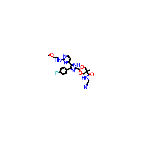 COCCNc1nccc(-c2[nH]c(C3OCC(C)(C(=O)NCC#N)CO3)nc2-c2ccc(F)cc2)n1